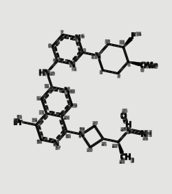 CO[C@H]1CCN(c2nccc(Nc3cc4c(C(C)C)cnc(N5CC([C@H](C)[SH](=N)=O)C5)c4cn3)n2)C[C@H]1F